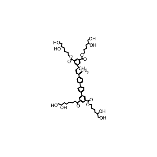 C=C(/C=C\C(=C/C)c1ccc(-c2ccc(-c3cc(C(=O)CCCCCC(O)CO)cc(C(=O)OCCCCC(O)CO)c3)cc2)cc1)c1cc(C(=O)OCCCCC(O)CO)cc(C(=O)OCCCCC(O)CO)c1